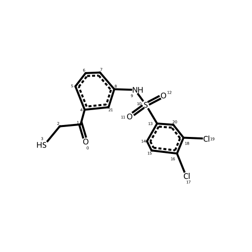 O=C(CS)c1cccc(NS(=O)(=O)c2ccc(Cl)c(Cl)c2)c1